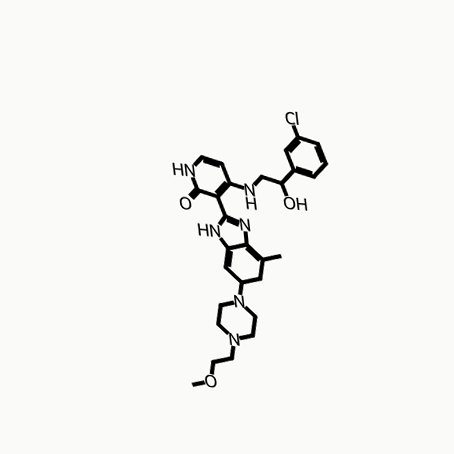 COCCN1CCN(C2C=c3[nH]c(-c4c(NCC(O)c5cccc(Cl)c5)cc[nH]c4=O)nc3=C(C)C2)CC1